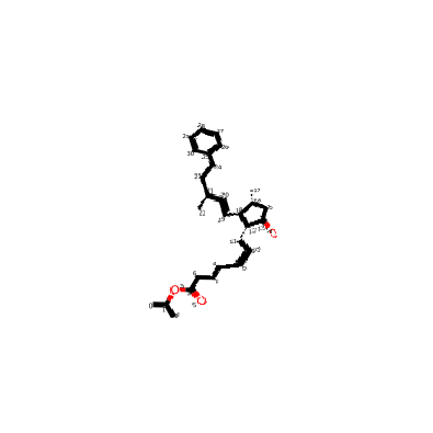 CC(C)OC(=O)CCC/C=C\C[C@H]1C(=O)C[C@@H](C)[C@@H]1/C=C/[C@@H](C)CCc1ccccc1